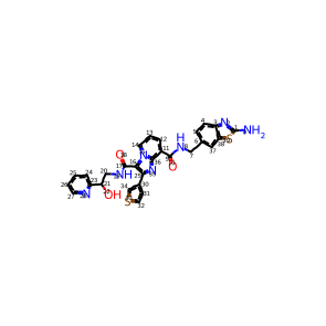 Nc1nc2ccc(CNC(=O)c3cccn4c(C(=O)NCC(O)c5ccccn5)c(-c5ccsc5)nc34)cc2s1